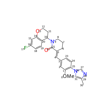 COc1cc(/C=C2\CCCN(C3CCOc4cc(F)ccc43)C2=O)ccc1-n1cnc(C)c1